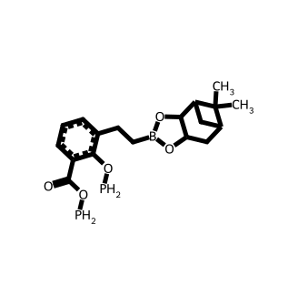 CC1(C)C2CC3OB(CCc4cccc(C(=O)OP)c4OP)OC3C1C2